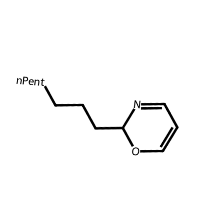 CCCCCCCCC1N=CC=CO1